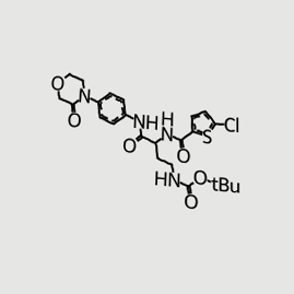 CC(C)(C)OC(=O)NCCC(NC(=O)c1ccc(Cl)s1)C(=O)Nc1ccc(N2CCOCC2=O)cc1